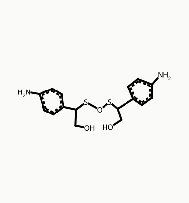 Nc1ccc(C(CO)SOSC(CO)c2ccc(N)cc2)cc1